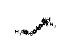 CN1CCN(CCOc2ccc(-c3ccc4cc(-c5cn(C)c(=O)c6[nH]ccc56)ccc4n3)cc2)CC1